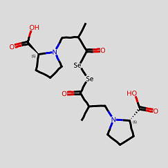 CC(CN1CCC[C@H]1C(=O)O)C(=O)[Se][Se]C(=O)C(C)CN1CCC[C@H]1C(=O)O